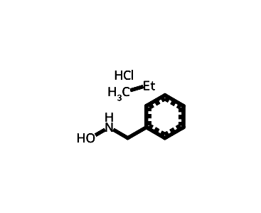 CCC.Cl.ONCc1ccccc1